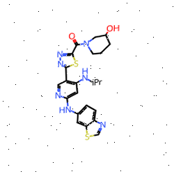 CC(C)Nc1cc(Nc2ccc3ncsc3c2)ncc1-c1nnc(C(=O)N2CCCC(O)C2)s1